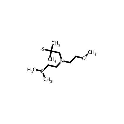 COCCN(CCP(C)C)CC(C)(C)[S]